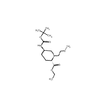 CCOC(=O)[C@@H]1CC[C@@H](NC(=O)OC(C)(C)C)CN1CCOC